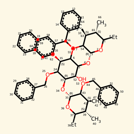 CCC1O[C@H](OC2C(OCc3ccccc3)[C@H](OCc3ccccc3)C(OCc3ccccc3)[C@H](O[C@H]3OC(CC)[C@@H](C)[C@H](C)C3OCc3ccccc3)[C@H]2O)C(OCc2ccccc2)[C@@H](C)[C@@H]1C